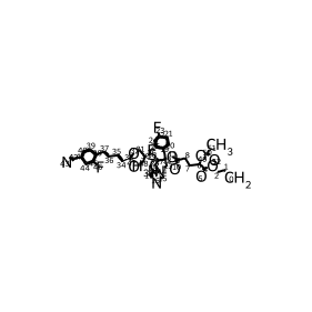 C=CCOC(=O)C(CCC(=O)O[C@@](Cn1cncn1)(c1ccc(F)cc1F)[C@@H](C)S[C@H]1CO[C@H](/C=C/C=C/c2ccc(C#N)cc2F)OC1)OC(C)=O